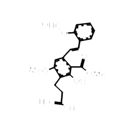 C=C(C)CCc1c(OC)cc(/C=C/c2ccccc2OC=O)c(C(=O)OC)c1O